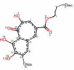 CCCCCCCCCCCCOC(=O)c1cc(O)c(=O)c2c(O)c(O)c(OC)cc2c1